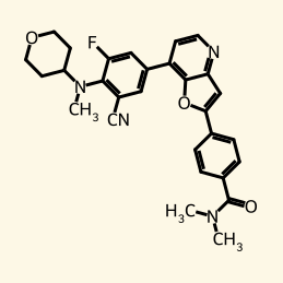 CN(C)C(=O)c1ccc(-c2cc3nccc(-c4cc(F)c(N(C)C5CCOCC5)c(C#N)c4)c3o2)cc1